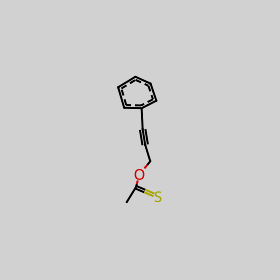 CC(=S)OCC#Cc1ccccc1